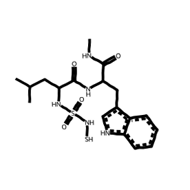 CNC(=O)C(Cc1c[nH]c2ccccc12)NC(=O)C(CC(C)C)NS(=O)(=O)NS